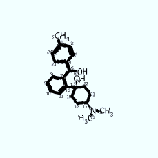 Cc1ccc(C(O)c2ccccc2[C@]2(O)CC[C@H](N(C)C)CC2)cc1